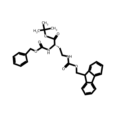 CC(C)(C)OC(=O)[C@H](CCNC(=O)OCC1c2ccccc2-c2ccccc21)NC(=O)OCc1ccccc1